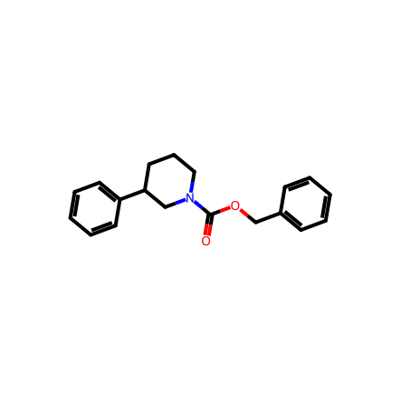 O=C(OCc1ccccc1)N1CCCC(c2ccccc2)C1